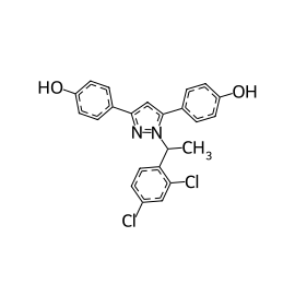 CC(c1ccc(Cl)cc1Cl)n1nc(-c2ccc(O)cc2)cc1-c1ccc(O)cc1